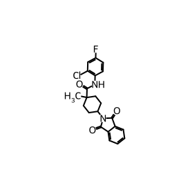 CC1(C(=O)Nc2ccc(F)cc2Cl)CCC(N2C(=O)c3ccccc3C2=O)CC1